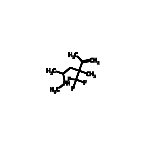 C=C(C)C(C)(CC(C)PC)C(F)(F)F